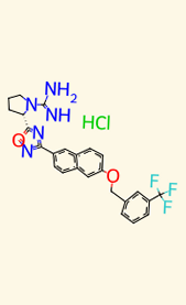 Cl.N=C(N)N1CCC[C@H]1c1nc(-c2ccc3cc(OCc4cccc(C(F)(F)F)c4)ccc3c2)no1